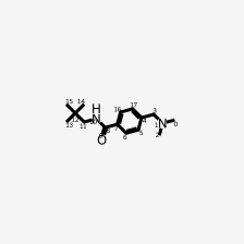 CN(C)Cc1ccc(C(=O)NCC(C)(C)C)cc1